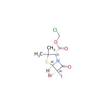 CC1(C)S[C@H]2N(C(=O)[C@@]2(Br)I)[C@H]1C(=O)OCCl